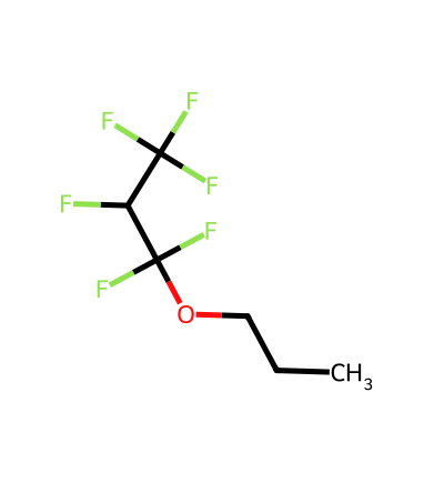 CCCOC(F)(F)C(F)C(F)(F)F